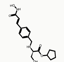 O=C(/C=C/c1ccc(CN[C@H](CO)C(=O)OC2CCCC2)cc1)NO